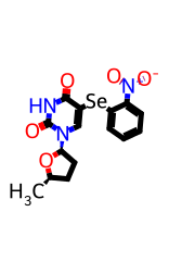 C[C@@H]1CC[C@H](n2cc([Se]c3ccccc3[N+](=O)[O-])c(=O)[nH]c2=O)O1